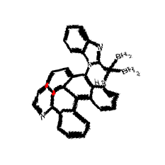 BC(B)(B)c1nc2ccccc2n1-c1c2ccccc2c(-c2ccccc2-c2ccccn2)c2ccccc12